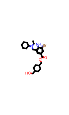 CCN(Cc1cc(C(=O)OCC2CCC(CO)CC2)cc(Br)c1N)C1CCCCC1